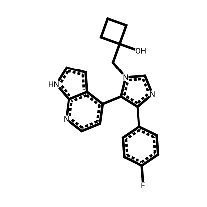 OC1(Cn2cnc(-c3ccc(F)cc3)c2-c2ccnc3[nH]ccc23)CCC1